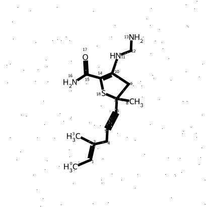 C/C=C(\C)CC#CC1(C)CC(NCN)=C(C(N)=O)S1